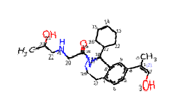 C/C(=C/O)c1ccc2c(c1)C(C1CCCCC1)N(C(=O)CNCC(C)O)CC2